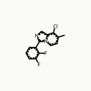 Cc1ccn2c(-c3cccc(F)c3F)ncc2c1Cl